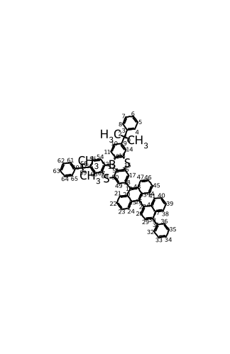 CC(C)(c1ccccc1)c1ccc2c(c1)Sc1cc(-c3c4ccccc4c(-c4ccc(-c5ccccc5)c5ccccc45)c4ccccc34)cc3c1B2c1ccc(C(C)(C)c2ccccc2)cc1S3